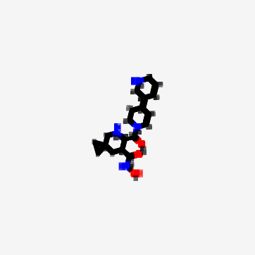 O=C(NO)[C@H]1CC2(CC2)CN[C@@H]1C(=O)N1C=CC(=C2C=CCNC2)CC1